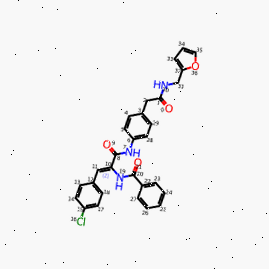 O=C(Cc1ccc(NC(=O)/C(=C/c2ccc(Cl)cc2)NC(=O)c2ccccc2)cc1)NCc1ccco1